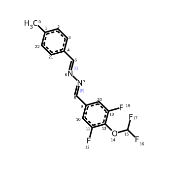 Cc1ccc(/C=N/N=C/c2cc(F)c(OC(F)F)c(F)c2)cc1